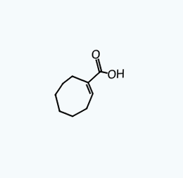 O=C(O)C1=CCCCCCC1